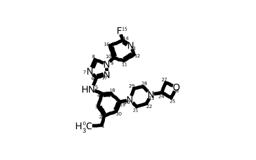 CCc1cc(Nc2ncn(-c3ccnc(F)c3)n2)cc(N2CCN(C3COC3)CC2)c1